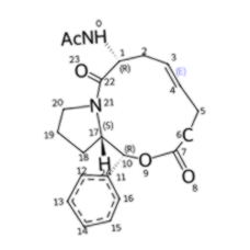 CC(=O)N[C@@H]1C/C=C/CCC(=O)O[C@H](c2ccccc2)[C@@H]2CCCN2C1=O